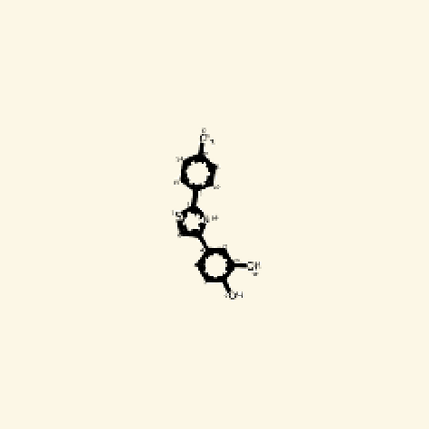 Oc1ccc(-c2csc(-c3ccc(C(F)(F)F)cc3)n2)cc1O